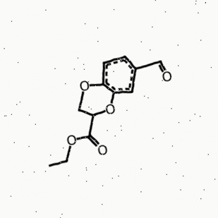 CCOC(=O)C1COc2ccc(C=O)cc2O1